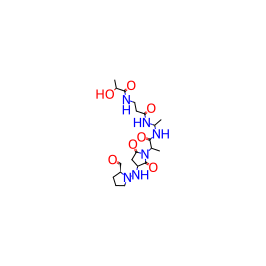 CC(NC(=O)CCNC(=O)C(C)O)NC(=O)C(C)N1C(=O)CC(NN2CCC[C@H]2C=O)C1=O